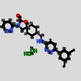 Cc1cc(C)cc(-c2ccc(NC[C@H]3CC[C@]4(CC3)CN(c3cccnn3)C(=O)O4)nn2)c1.Cl.Cl